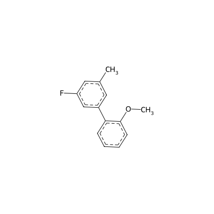 COc1ccccc1-c1cc(C)cc(F)c1